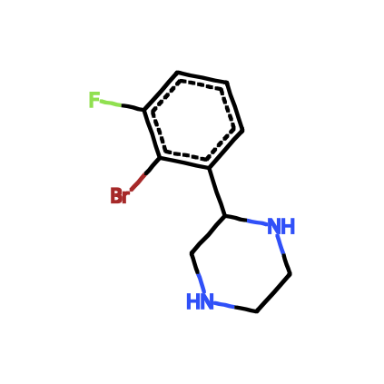 Fc1cccc(C2CNCCN2)c1Br